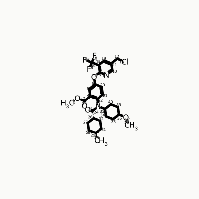 COC(=O)c1cc(Oc2ncc(CCl)cc2C(F)(F)F)ccc1N(C(=O)[C@H]1CC[C@H](C)CC1)C1CCC(OC)CC1